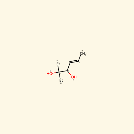 [CH2]/C=C/C(O)C(O)(CC)CC